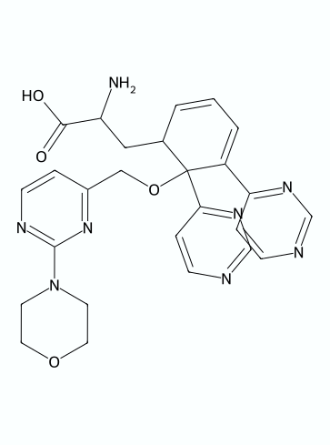 NC(CC1C=CC=C(c2ccncn2)C1(OCc1ccnc(N2CCOCC2)n1)c1ccncn1)C(=O)O